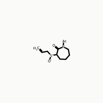 C=CC[S+]([O-])C1CCCCN(C(C)=O)C1=O